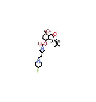 CO[C@@H]1[C@H](OC(=O)N2CC(CCN3CCC(F)CC3)C2)CC[C@]2(CO2)[C@H]1[C@@]1(C)O[C@@H]1CC=C(C)C